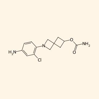 NC(=O)OC1CC2(C1)CN(c1ccc(N)cc1Cl)C2